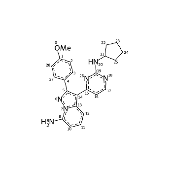 COc1ccc(-c2nn3c(N)cccc3c2-c2ccnc(NC3CCCC3)n2)cc1